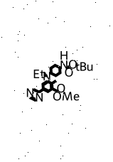 CCN(c1cc(-c2cnccn2)cc(C(=O)OC)c1C)[C@H]1CC[C@H](NC(=O)OC(C)(C)C)CC1